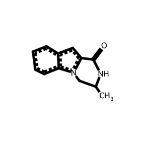 CC1Cn2c(cc3ccccc32)C(=O)N1